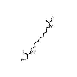 O=C(CBr)NCCCCCCCCCNC(=O)CBr